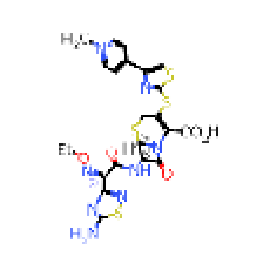 CCO/N=C(\C(=O)N[C@@H]1C(=O)N2C(C(=O)O)=C(Sc3nc(-c4cc[n+](C)cc4)cs3)CS[C@H]12)c1nsc(N)n1